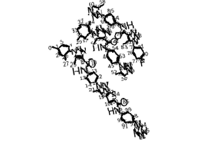 Cc1ccc(-n2nnc(C(=O)Nc3ccc(-n4nncc4C)cc3)c2C)c(C)c1.Cc1ccc(C)c(-n2nnc(C(=O)Nc3ccc(-n4nncc4C)cc3)c2C)c1.Cc1cnnn1-c1ccc(NC(=O)c2nnn(-c3ccc(F)cc3)c2C)cc1.O=C(Nc1ccc(-n2cnnn2)cc1)c1cccs1